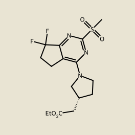 CCOC(=O)C[C@H]1CCN(c2nc(S(C)(=O)=O)nc3c2CCC3(F)F)C1